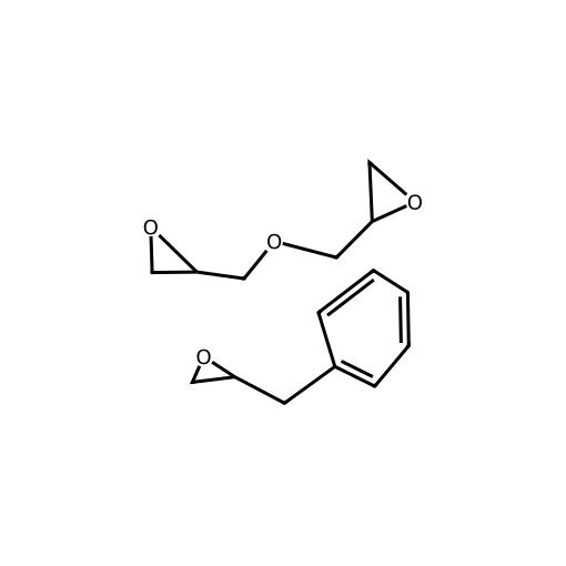 C(OCC1CO1)C1CO1.c1ccc(CC2CO2)cc1